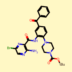 CC(C)(C)OC(=O)N1CCN(c2ccc(C(=O)c3ccccc3)cc2NC(=O)c2nc(Br)cnc2N)CC1